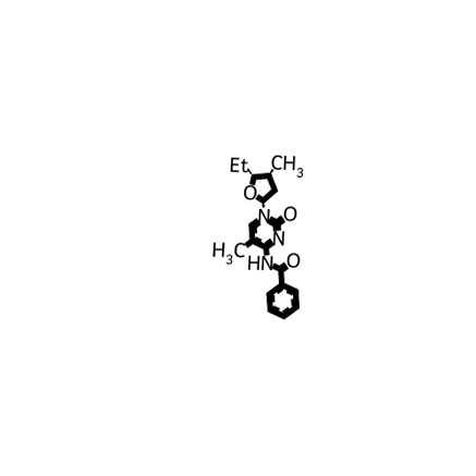 CC[C@H]1O[C@@H](n2cc(C)c(NC(=O)c3ccccc3)nc2=O)C[C@H]1C